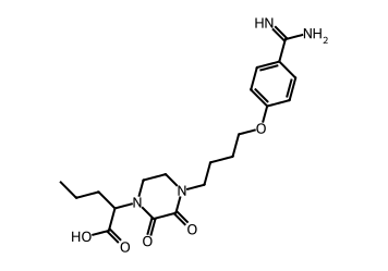 CCCC(C(=O)O)N1CCN(CCCCOc2ccc(C(=N)N)cc2)C(=O)C1=O